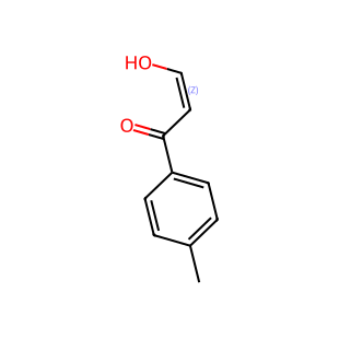 Cc1ccc(C(=O)/C=C\O)cc1